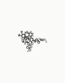 COC(=O)OCOc1c2n(cc/c1=N\OC(=O)CN)N([C@@H]1c3ccccc3SCc3c1ccc(F)c3F)[C@@H]1COCCN1C2=O